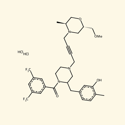 COC[C@@H]1CN(CC#CCN2CCN(C(=O)c3cc(C(F)(F)F)cc(C(F)(F)F)c3)C(Cc3ccc(C)c(O)c3)C2)[C@@H](C)CO1.Cl.Cl